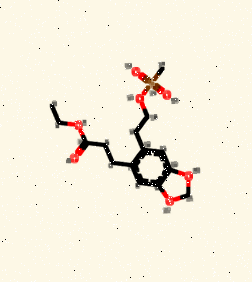 CCOC(=O)CCc1cc2c(cc1CCOS(C)(=O)=O)OCO2